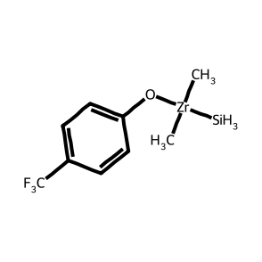 [CH3][Zr]([CH3])([SiH3])[O]c1ccc(C(F)(F)F)cc1